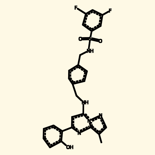 Cc1cnn2c(NCc3ccc(CNS(=O)(=O)c4cc(F)cc(F)c4)cc3)cc(-c3ccccc3O)nc12